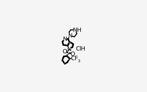 Cl.O=S(=O)(c1ccccc1C(F)(F)F)n1ccc2c(N3CCNCC3)nccc21